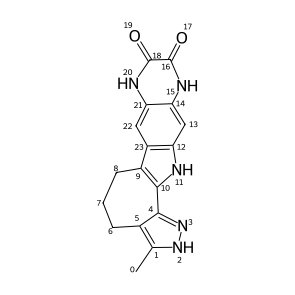 Cc1[nH]nc2c1CCCc1c-2[nH]c2cc3[nH]c(=O)c(=O)[nH]c3cc12